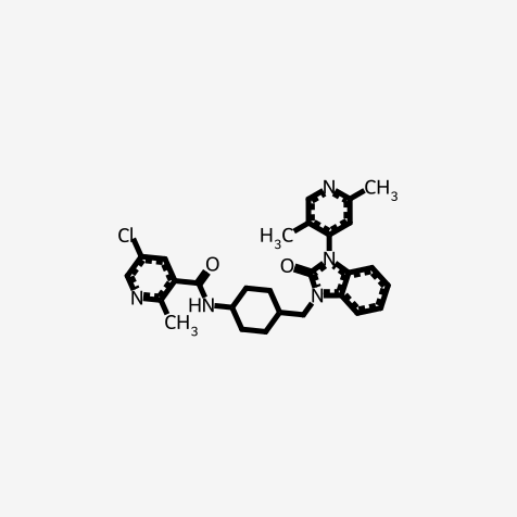 Cc1cc(-n2c(=O)n(CC3CCC(NC(=O)c4cc(Cl)cnc4C)CC3)c3ccccc32)c(C)cn1